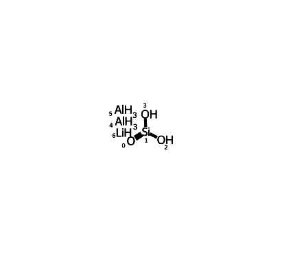 O=[Si](O)O.[AlH3].[AlH3].[LiH]